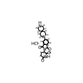 Cl.O=C1CCC(N2C(=O)c3ccc(N4CCC5(CCNCC5)CC4)cc3C2=O)C(=O)N1